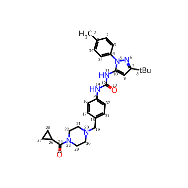 Cc1ccc(-n2nc(C(C)(C)C)cc2NC(=O)Nc2ccc(CN3CCN(C(=O)C4CC4)CC3)cc2)cc1